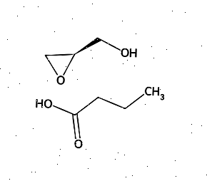 CCCC(=O)O.OC[C@@H]1CO1